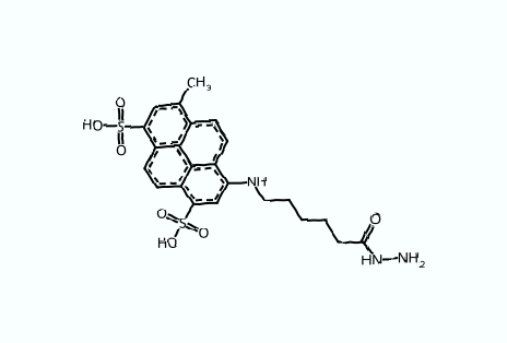 Cc1cc(S(=O)(=O)O)c2ccc3c(S(=O)(=O)O)cc(NCCCCCC(=O)NN)c4ccc1c2c43